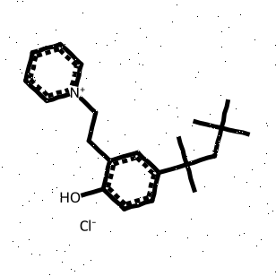 CC(C)(C)CC(C)(C)c1ccc(O)c(CC[n+]2ccccc2)c1.[Cl-]